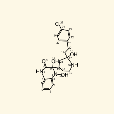 O=C1Nc2ccccc2N(O)C1(O)C1CCNC(O)(CCc2ccc(Cl)cc2)C1